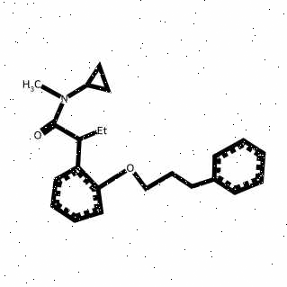 CCC(C(=O)N(C)C1CC1)c1ccccc1OCCCc1ccccc1